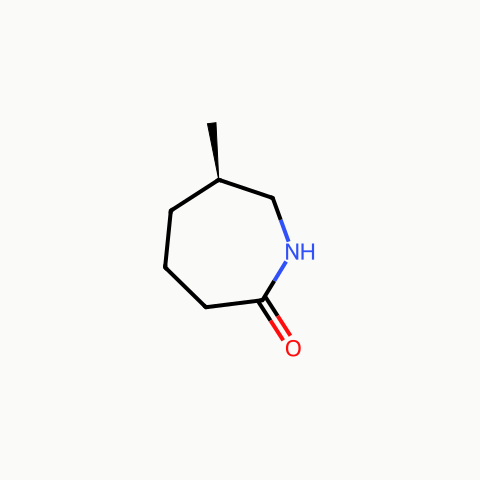 C[C@@H]1CCCC(=O)NC1